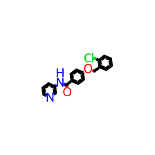 O=C(Nc1cccnc1)c1ccc(OCc2ccccc2Cl)cc1